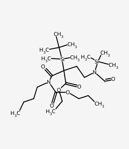 CCCCN(C(=O)OCCC)C(=O)C(CCN([C]=O)[Si](C)(C)C)(C(=O)OCC)[Si](C)(C)C(C)(C)C